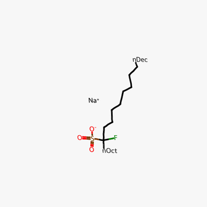 CCCCCCCCCCCCCCCCCCC(F)(CCCCCCCC)S(=O)(=O)[O-].[Na+]